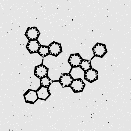 C1=CC2=c3c(n(-c4nc(-c5cccc6c5c5ccccc5n6-c5ccccc5)c5ccccc5n4)c4cc(-n5c6ccccc6c6c7ccccc7ccc65)ccc34)=CCC2C=C1